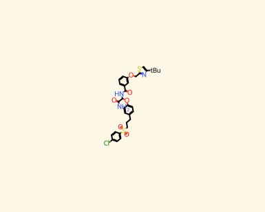 CC(C)(C)c1csc(COc2cccc(C(=O)NC(Oc3ccc(CCCS(=O)(=O)c4ccc(Cl)cc4)cc3)C(N)=O)c2)n1